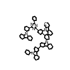 c1ccc(-c2nc(-c3cccc(-n4c5ccccc5c5ccccc54)c3)nc(-c3ccc(-c4cccc(-n5c6ccccc6c6cc(-c7ccc8c(c7)c7ccccc7n8-c7ccccc7)ccc65)c4)c(-n4c5ccccc5c5ccccc54)c3)n2)cc1